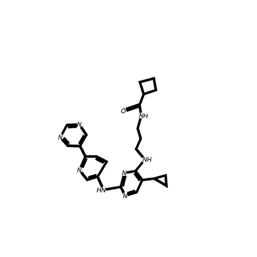 O=C(NCCCNc1nc(Nc2ccc(-c3cncnc3)nc2)ncc1C1CC1)C1CCC1